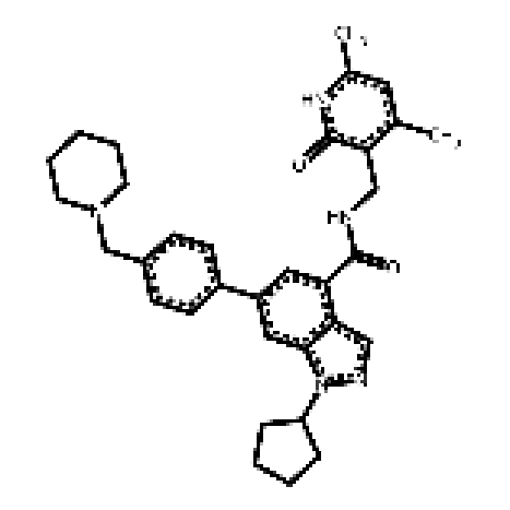 Cc1cc(C)c(CNC(=O)c2cc(-c3ccc(CN4CCCCC4)cc3)cc3c2cnn3C2CCCC2)c(=O)[nH]1